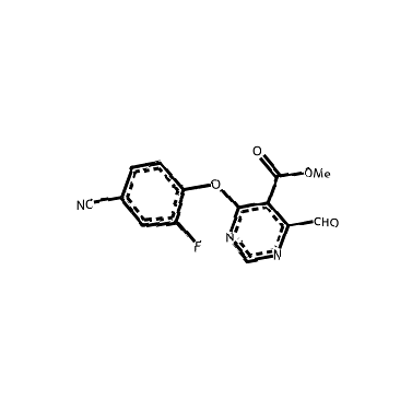 COC(=O)c1c(C=O)ncnc1Oc1ccc(C#N)cc1F